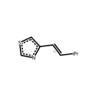 CC(C)/C=C/c1cscn1